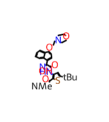 CNC(=O)c1sc(C(C)(C)C)cc1NC(=O)C(=NO)c1ccc(OCCN2CCOCC2)c2ccccc12